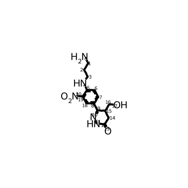 NCCCNc1ccc(C2=NNC(=O)CC2CO)cc1[N+](=O)[O-]